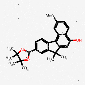 COc1ccc2c(O)cc3c(c2c1)-c1ccc(B2OC(C)(C)C(C)(C)O2)cc1C3(C)C